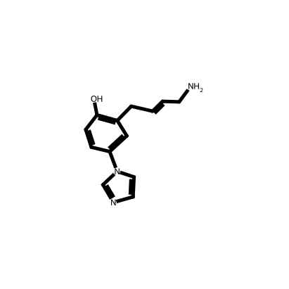 NCC=CCc1cc(-n2ccnc2)ccc1O